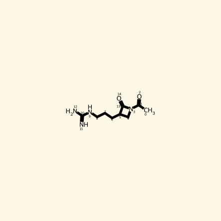 CC(=O)N1CC(CCCNC(=N)N)C1=O